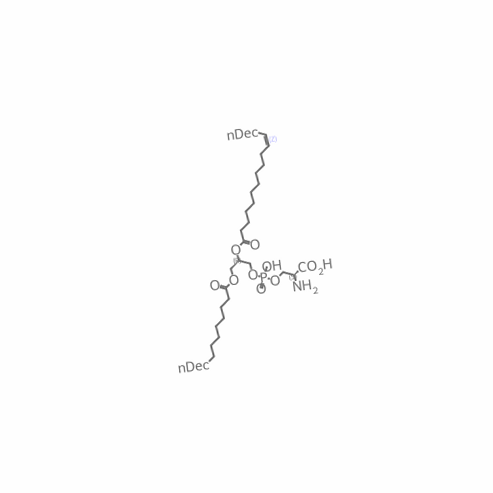 CCCCCCCCCC/C=C\CCCCCCCCCC(=O)O[C@H](COC(=O)CCCCCCCCCCCCCCCCC)COP(=O)(O)OC[C@H](N)C(=O)O